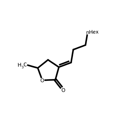 CCCCCCCC/C=C1\CC(C)OC1=O